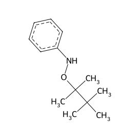 CC(C)(C)C(C)(C)ONc1ccccc1